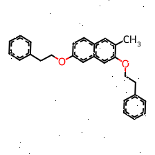 Cc1cc2ccc(OCCc3ccccc3)cc2cc1OCCc1ccccc1